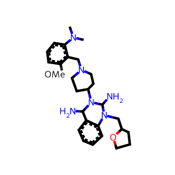 COc1cccc(N(C)C)c1CN1CCC(N2C(N)c3ccccc3N(CC3CCCO3)C2N)CC1